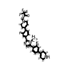 Cn1c(-c2ccc(C3=CCN(OC(=O)C(F)(F)F)CC3)c(F)c2)nnc1-c1ccc(C2=CCNCC2)cc1F